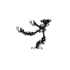 COc1ccc2c3c1O[C@H]1C(OC(=O)C(CCC(=O)NCCCCOc4ccc(C(=O)Oc5ccc6cc(C(=N)N)ccc6c5)cc4)NC(=O)C(CCC(=O)NCCCCOc4ccc(C(=O)Oc5ccc6cc(C(=N)N)ccc6c5)cc4)NC(=O)[C@@H](N)CCCCNP)=CC[C@H]4[C@@H](C2)N(C)CC[C@]314